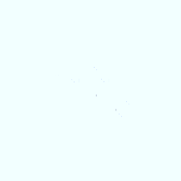 Cc1cccc(Cl)c1NC(=O)c1cnc(Nc2cccc(-c3cncnc3)c2)s1